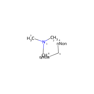 CN(C)C.[CH2]CCCCCCCCCCCCCCCCCC